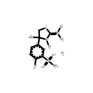 CCN1C(=[N+](CC)CC)SCC1(O)c1ccc(Cl)c(S(N)(=O)=O)c1.[Cl-]